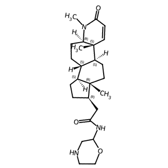 CN1C(=O)C=C[C@]2(C)[C@H]3CC[C@]4(C)[C@@H](CC(=O)NC5CNCCO5)CC[C@H]4[C@@H]3CC[C@@H]12